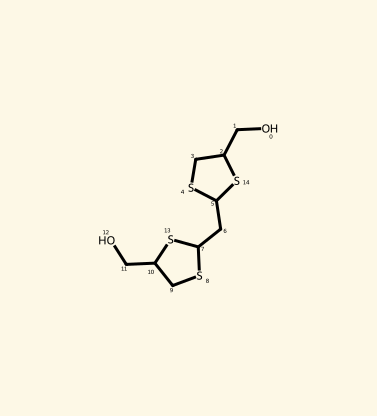 OCC1CSC(CC2SCC(CO)S2)S1